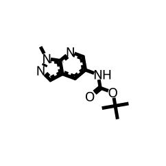 Cn1ncc2cc(NC(=O)OC(C)(C)C)cnc21